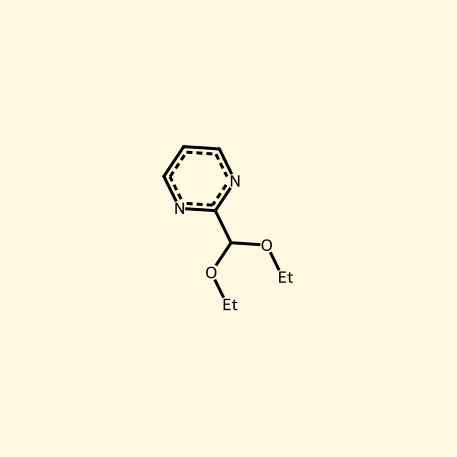 CCOC(OCC)c1ncccn1